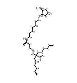 C=CCCCCC(COCCC=C)(COCCC(=C)NCCCCCCCOC1CC(C)CC1N)NC